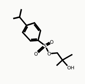 CC(C)c1ccc(S(=O)(=O)OCC(C)(C)O)cc1